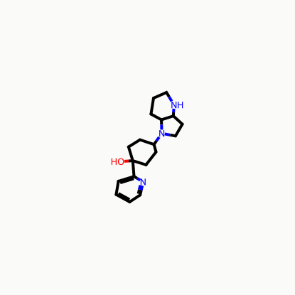 OC1(c2ccccn2)CCC(N2CCC3NCCCC32)CC1